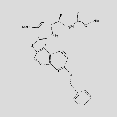 COC(=O)c1sc2ccc3nc(OCc4ccccc4)ccc3c2c1NC[C@@H](C)NC(=O)OC(C)(C)C